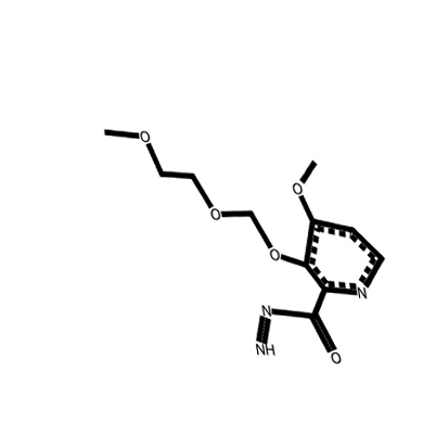 COCCOCOc1c(OC)ccnc1C(=O)N=N